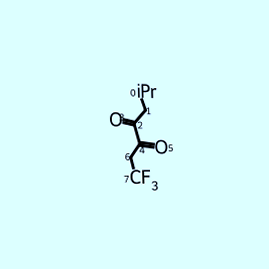 CC(C)CC(=O)C(=O)CC(F)(F)F